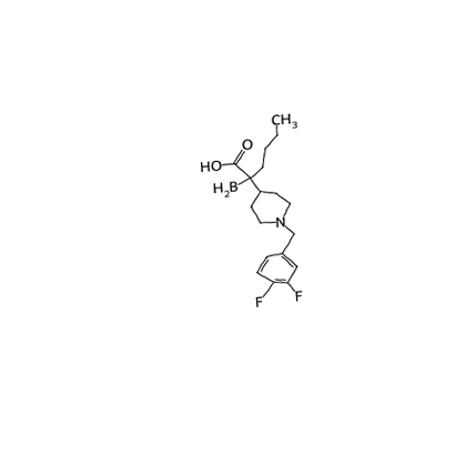 BC(CCCC)(C(=O)O)C1CCN(Cc2ccc(F)c(F)c2)CC1